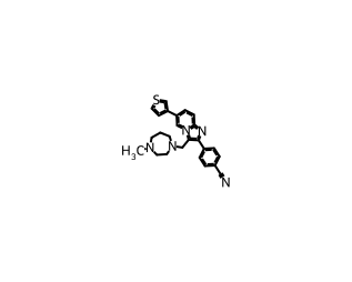 CN1CCCN(Cc2c(-c3ccc(C#N)cc3)nc3ccc(-c4ccsc4)cn23)CC1